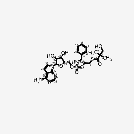 CC(C)(CO)C(=O)SCCOP(=O)(NCc1ccccc1)OC[C@H]1OC(n2ccc3c(N)ncnc32)C(O)[C@H]1O